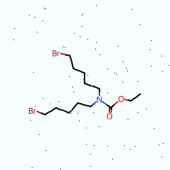 CCOC(=O)N(CCCCCBr)CCCCCBr